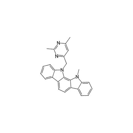 Cc1cc(Cn2c3ccccc3c3ccc4c5ccccc5n(C)c4c32)nc(C)n1